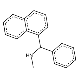 CNC(c1ccccc1)c1cccc2ccccc12